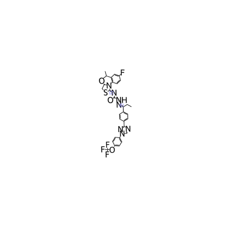 CC/C(=N\NC(=O)/N=C1\SCC(=O)N1c1ccc(F)cc1C(C)C)c1ccc(-c2ncn(-c3ccc(OC(F)(F)F)cc3)n2)cc1